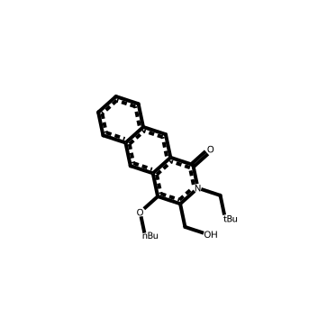 CCCCOc1c(CO)n(CC(C)(C)C)c(=O)c2cc3ccccc3cc12